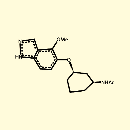 COc1c(O[C@@H]2CCC[C@H](NC(C)=O)C2)ccc2[nH]ncc12